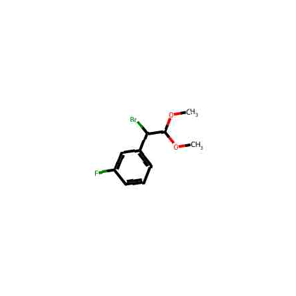 COC(OC)C(Br)c1cccc(F)c1